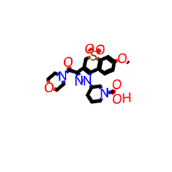 COc1ccc2c(c1)S(=O)(=O)Cc1c(C(=O)N3CCOCC3)nn(C3CCCN(C(=O)O)C3)c1-2